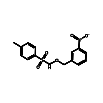 Cc1ccc(S(=O)(=O)NOCc2cccc([N+](=O)[O-])c2)cc1